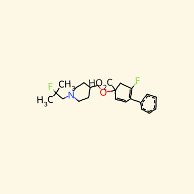 CC(C)(F)CN1CCC(COC2(C(=O)O)C=CC(c3ccccc3)=C(F)C2)CC1